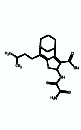 CC(C)CCC1=C2SC(NC(=O)C(N)=O)C(C(=O)O)=C2C2CCCN1C2